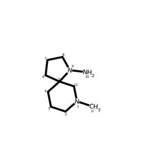 CN1CCCC2(CCCN2N)C1